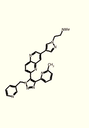 CNCCn1cc(-c2cnc3ccc(-c4c(-c5cccc(C)n5)nnn4Cc4cccnc4)nc3c2)cn1